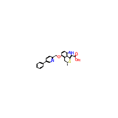 CC1Cc2c(OCc3ccc(-c4ccccc4)cn3)ccc3[nH]c(C(=O)O)c(c23)S1